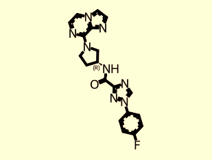 O=C(N[C@@H]1CCN(c2nccn3ccnc23)C1)c1ncn(-c2ccc(F)cc2)n1